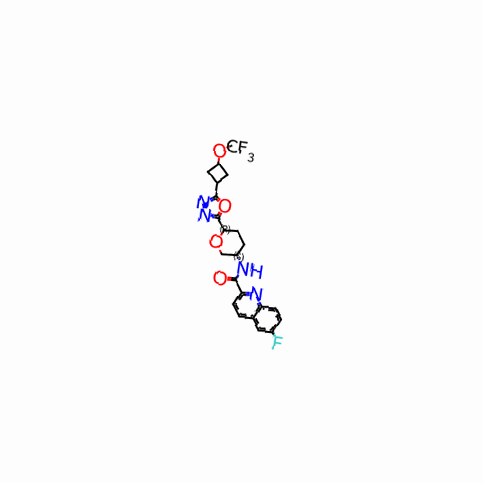 O=C(N[C@H]1CC[C@H](c2nnc(C3CC(OC(F)(F)F)C3)o2)OC1)c1ccc2cc(F)ccc2n1